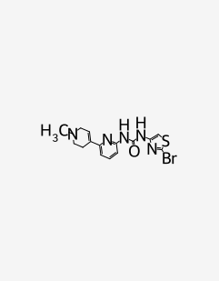 CN1CC=C(c2cccc(NC(=O)Nc3csc(Br)n3)n2)CC1